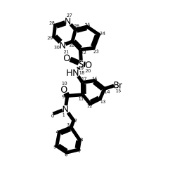 CN(Cc1ccccc1)C(=O)c1ccc(Br)cc1NS(=O)(=O)c1cccc2nccnc12